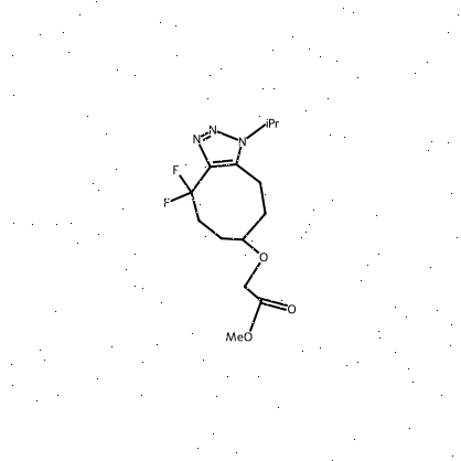 COC(=O)COC1CCc2c(nnn2C(C)C)C(F)(F)CC1